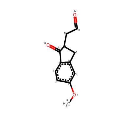 COc1ccc2c(c1)CC(CC=O)C2=O